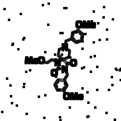 COCCN1C(=O)N(Cc2cccc(OC)c2)C(=O)C12CCN(Cc1cccc(OC)c1)CC2